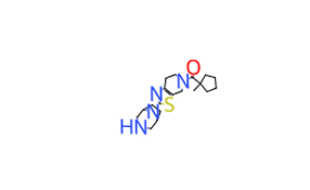 CC1(C(=O)N2CCc3nc(N4C5CCC4CNC5)sc3C2)CCCC1